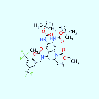 CCOC(=O)N1c2cc(NC(=O)OC(C)(C)C)c(NC(=O)OC(C)(C)C)cc2C(N(Cc2cc(C(F)(F)F)cc(C(F)(F)F)c2)C(=O)OC)CC1C